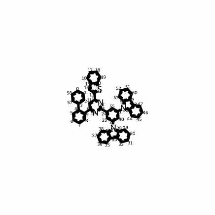 c1ccc(-c2ccccc2-c2cc(-c3cc4ccccc4s3)nc(-c3cc(-n4c5ccccc5c5ccccc54)cc(-n4c5ccccc5c5ccccc54)c3)n2)cc1